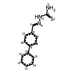 NC(=S)NN=Cc1ccc(-c2ccccc2)cc1